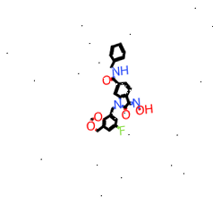 O=C(NCc1ccccc1)c1ccc2c(c1)N(Cc1cc(F)cc3c1OCOC3)C(=O)/C2=N\O